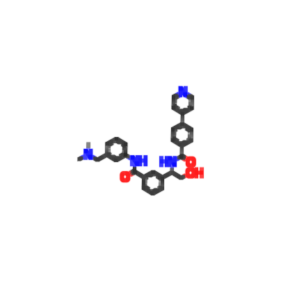 CN(C)Cc1cccc(NC(=O)c2cccc(C(CO)NC(=O)c3ccc(-c4ccncc4)cc3)c2)c1